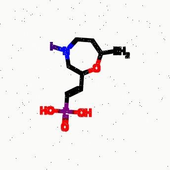 BC1CCN(I)CC(/C=C/P(=O)(O)O)O1